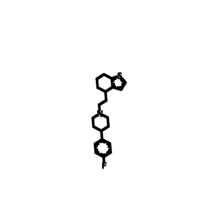 Fc1ccc(C2CCN(CCC3CCCc4sccc43)CC2)cc1